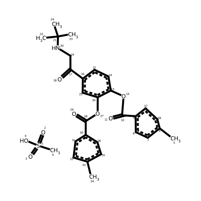 CS(=O)(=O)O.Cc1ccc(C(=O)Oc2ccc(C(=O)CNC(C)(C)C)cc2OC(=O)c2ccc(C)cc2)cc1